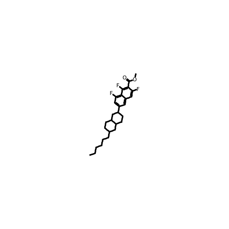 CCCCCCC1CCC2CC(c3cc(F)c4c(F)c(C(=O)OC)c(F)cc4c3)CCC2C1